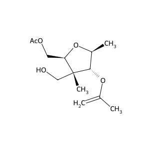 C=C(C)O[C@H]1[C@H](C)O[C@H](COC(C)=O)[C@@]1(C)CO